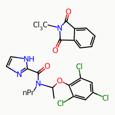 CCCN(C(=O)c1ncc[nH]1)C(C)Oc1c(Cl)cc(Cl)cc1Cl.O=C1c2ccccc2C(=O)N1C(Cl)(Cl)Cl